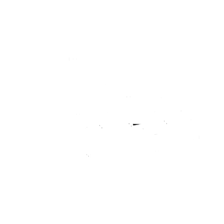 CNC(C(=O)NC(C(=O)N[C@@H]1C(=O)N2[C@@H]1SC(C)(C)[C@@H]2C(=O)O)c1ccc(O)cc1)c1ccccc1